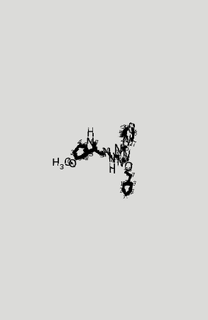 COc1ccc2[nH]cc(/C=N/Nc3nc(OCCc4ccccc4)nc(N4CCOCC4)n3)c2c1